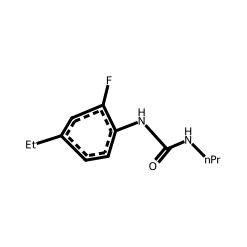 CCCNC(=O)Nc1ccc(CC)cc1F